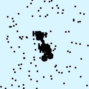 O=C(CCCCCNC(=O)NC(=O)/C(=C/c1ccccc1)c1ccccc1)NO